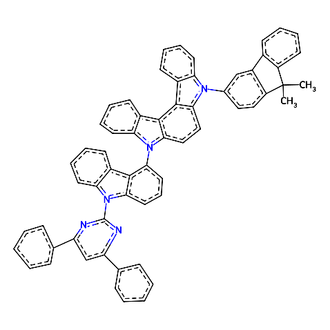 CC1(C)c2ccccc2-c2cc(-n3c4ccccc4c4c5c6ccccc6n(-c6cccc7c6c6ccccc6n7-c6nc(-c7ccccc7)cc(-c7ccccc7)n6)c5ccc43)ccc21